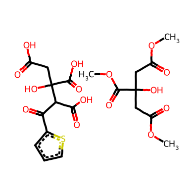 COC(=O)CC(O)(CC(=O)OC)C(=O)OC.O=C(O)CC(O)(C(=O)O)C(C(=O)O)C(=O)c1cccs1